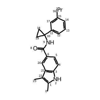 Cc1[nH]c2ccc(C(=O)NC3(c4cccc(C(C)C)c4)CC3)cc2c1C